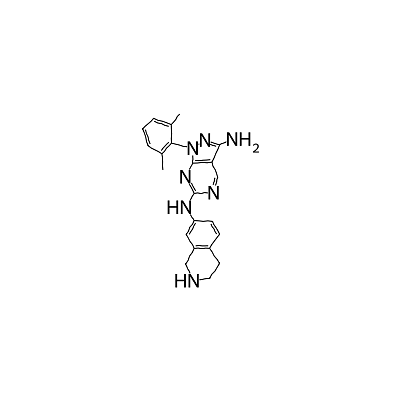 Cc1cccc(C)c1-n1nc(N)c2cnc(Nc3ccc4c(c3)CNCC4)nc21